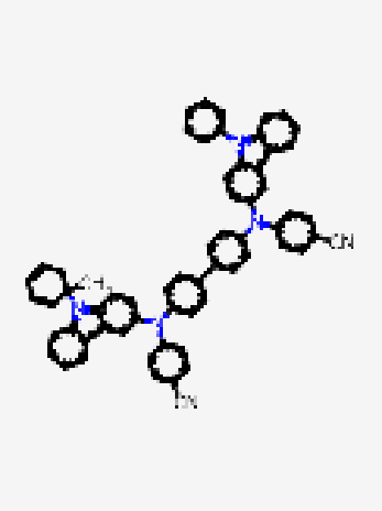 CC1(n2c3ccccc3c3cc(N(c4ccc(C#N)cc4)c4ccc(-c5ccc(N(c6ccc(C#N)cc6)c6ccc7c(c6)c6ccccc6n7-c6ccccc6)cc5)cc4)ccc32)C=CC=CC1